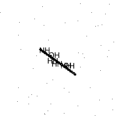 CCCCCCCCCCC(O)CNCCNCCCNCCCCC(O)CCCCCCCNCC